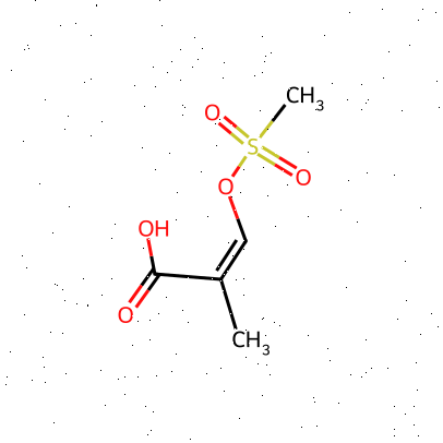 CC(=COS(C)(=O)=O)C(=O)O